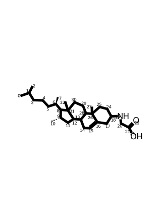 CC(C)CCC[C@@H](C)C1[C@@H](C)CC2C3CC=C4CC(NCC(=O)O)CCC4(C)C3CCC21C